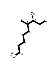 CC[C@H](O)C(C)CCCCCO